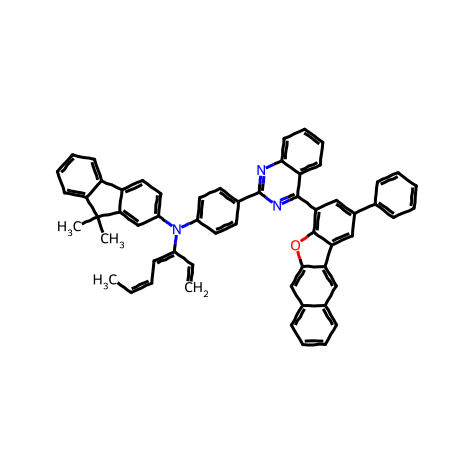 C=C/C(=C\C=C/C)N(c1ccc(-c2nc(-c3cc(-c4ccccc4)cc4c3oc3cc5ccccc5cc34)c3ccccc3n2)cc1)c1ccc2c(c1)C(C)(C)c1ccccc1-2